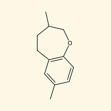 Cc1ccc2c(c1)CCC(C)CO2